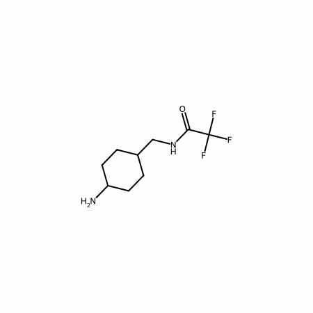 NC1CCC(CNC(=O)C(F)(F)F)CC1